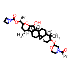 CC(C)C(=O)N1CCOC(OC2CC[C@]34C[C@]35CC[C@]3(C)[C@@H]6C(OC([C@H](OC(=O)N7CCC7)C(C)C)C[C@H]6C)[C@H](O)[C@@]3(C)C5CC[C@H]4C2(C)C)C1